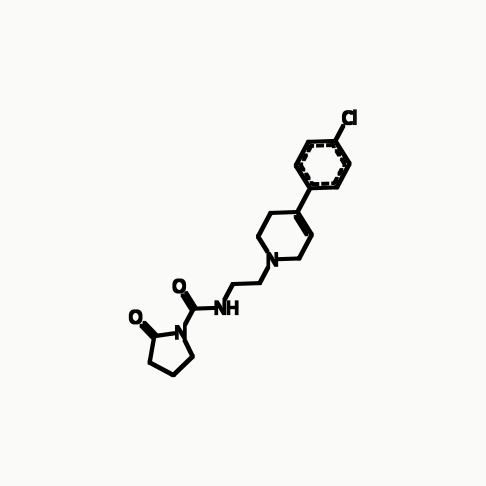 O=C1CCCN1C(=O)NCCN1CC=C(c2ccc(Cl)cc2)CC1